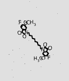 COc1cc2c(cc1F)C(=O)C(=O)N2CCCCCCCCCCN1C(=O)C(=O)c2cc(F)c(OC)cc21